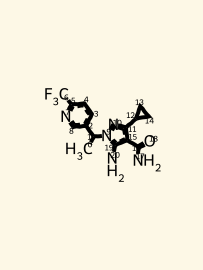 CC(c1ccc(C(F)(F)F)nc1)n1nc(C2CC2)c(C(N)=O)c1N